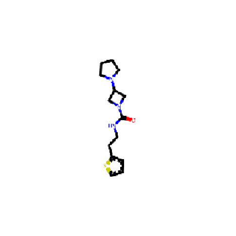 O=C(NCCc1cccs1)N1CC(N2CCCC2)C1